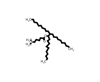 CCCCCCCCCCC(CCCCCCCCCC)C(CCCCCCCCCC)OC(=O)CCCCN(C)C